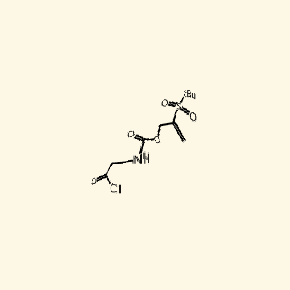 C=C(COC(=O)NCC(=O)Cl)S(=O)(=O)C(C)(C)C